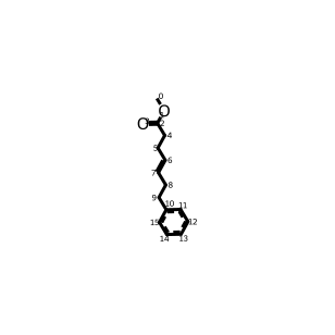 COC(=O)CCC=CCCc1ccccc1